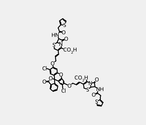 O=C(Cc1cccs1)NC1C(=O)N2C(C(=O)O)=C(C=CCOc3cc4c(cc3Cl)C3(OC(=O)c5ccccc53)c3cc(Cl)c(OCC=CC5=C(C(=O)O)N6C(=O)C(NC(=O)Cc7cccs7)C6SC5)cc3O4)CSC12